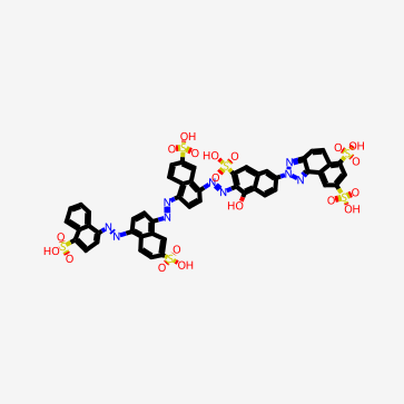 O=S(=O)(O)c1ccc2c(N=Nc3ccc(N=Nc4ccc(S(=O)(=O)O)c5ccccc45)c4ccc(S(=O)(=O)O)cc34)ccc(N=Nc3c(S(=O)(=O)O)cc4cc(-n5nc6ccc7c(S(=O)(=O)O)cc(S(=O)(=O)O)cc7c6n5)ccc4c3O)c2c1